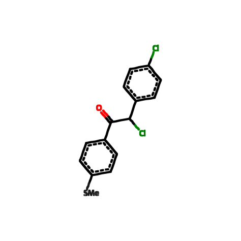 CSc1ccc(C(=O)C(Cl)c2ccc(Cl)cc2)cc1